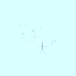 CCC(C)(CC(C)(C)C)O[PH](=O)OC(C)(CC)CC(C)(C)C